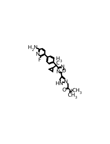 CN(C)C(=O)CN1C=C(c2nc(C(C)(c3ccc(-c4ccc(N)nc4F)cc3)C3CC3)no2)CN1